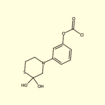 O=C(Cl)Oc1cccc(N2CCSC(O)(O)C2)c1